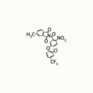 Cc1ccc2c(c1)C(=O)N(C(=O)c1cc(Oc3ccc(C(F)(F)F)cc3Cl)ccc1[N+](=O)[O-])C2=O